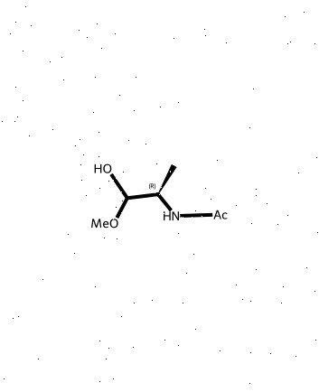 COC(O)[C@@H](C)NC(C)=O